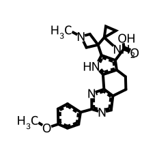 COc1ccc(-c2ncc3c(n2)-c2[nH]c(C4(C5(N)CC5)CN(C)C4)c(C(=O)O)c2CC3)cc1